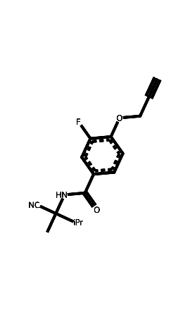 C#CCOc1ccc(C(=O)NC(C)(C#N)C(C)C)cc1F